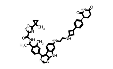 Cc1cc(-c2ncnc3[nH]c4cc(NCCNC5CC(c6ccc([C@@H]7CCC(=O)NC7=O)cc6)C5)ccc4c23)ccc1[C@@H](C)NC(=O)c1noc(C2(C)CC2)n1